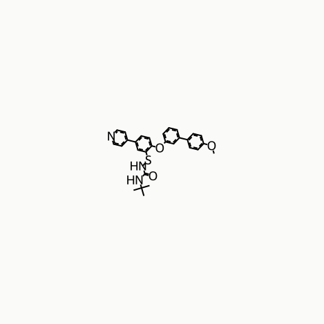 COc1ccc(-c2cccc(Oc3ccc(-c4ccncc4)cc3SNC(=O)NC(C)(C)C)c2)cc1